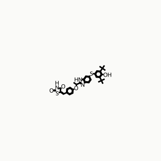 CC(Oc1ccc(C=C2SC(=O)NC2=O)cc1)c1nc2ccc(Sc3cc(C(C)(C)C)c(O)c(C(C)(C)C)c3)cc2[nH]1